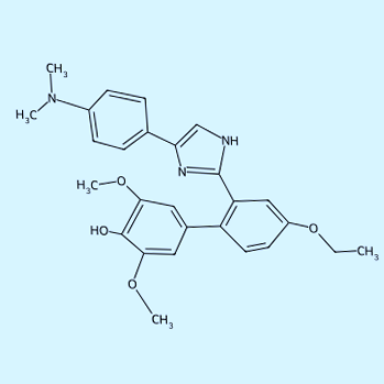 CCOc1ccc(-c2cc(OC)c(O)c(OC)c2)c(-c2nc(-c3ccc(N(C)C)cc3)c[nH]2)c1